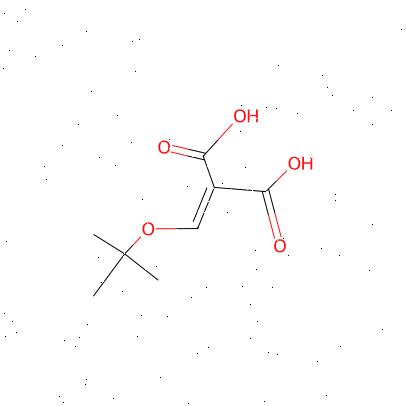 CC(C)(C)OC=C(C(=O)O)C(=O)O